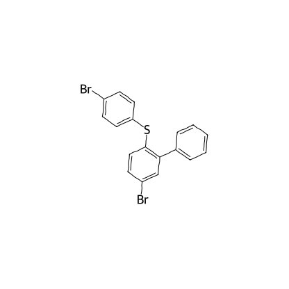 Brc1ccc(Sc2ccc(Br)cc2-c2ccccc2)cc1